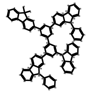 CC1(C)c2ccccc2-c2ccc(-c3cc(-c4cc(-c5ccc6c7ccccc7n(-c7ccccc7)c6c5)cc(-n5c6ccccc6c6ccccc65)c4)cc(-c4ccc5c6ccccc6n(-c6ccccc6)c5c4)c3)cc21